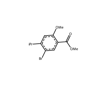 COC(=O)c1cc(Br)c(C(C)C)cc1OC